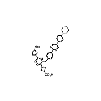 CC(C)(C)c1ccc(C(=O)N[C@@H](Cc2ccc(-c3ncc(-c4ccc([C@H]5CC[C@@H](C)CC5)cc4)cn3)cc2)C(=O)N2CC(C(=O)O)C2)s1